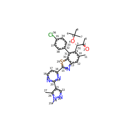 CC(=O)[C@@H](OC(C)(C)C)c1c(C)cc2nc(-c3ccnc(-c4cnn(C)c4C)n3)sc2c1-c1ccc(Cl)cc1